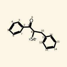 O=C(c1ccccc1)C([Se])Cc1ccccc1